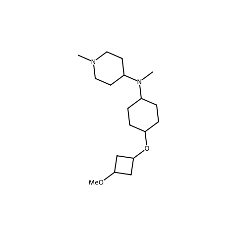 COC1CC(OC2CCC(N(C)C3CCN(C)CC3)CC2)C1